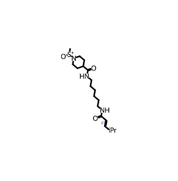 CC(C)/C=C/C(=O)NCCCCCCNC(=O)C1CCN([S+](C)[O-])CC1